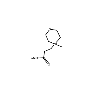 COC(=O)CC[N+]1(C)CCOCC1